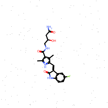 Cc1[nH]c(/C=C2\C(=O)Nc3ccc(F)cc32)c(C)c1C(=O)NCC(O)CC(N)=O